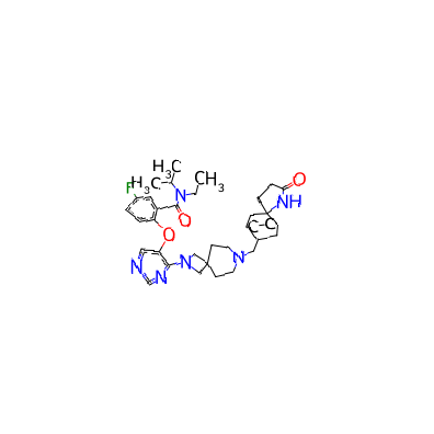 CCN(C(=O)c1cc(F)ccc1Oc1cncnc1N1CC2(CCN(CC3CC4CCC3CC43CCC(=O)N3)CC2)C1)C(C)C